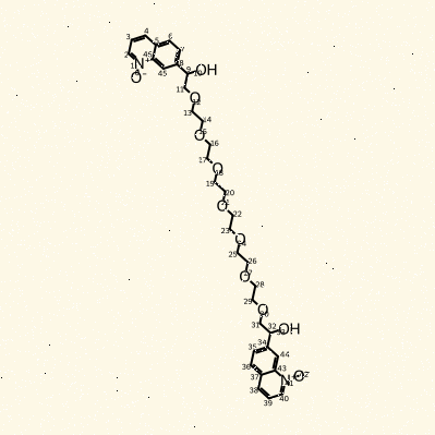 [O-][n+]1cccc2ccc(C(O)COCCOCCOCCOCCOCCOCCOCC(O)c3ccc4ccc[n+]([O-])c4c3)cc21